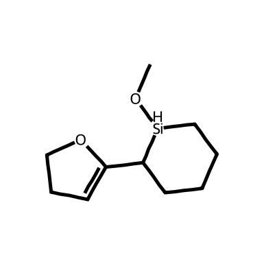 CO[SiH]1CCCCC1C1=CCCO1